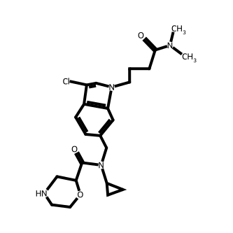 CN(C)C(=O)CCCn1cc(Cl)c2ccc(CN(C(=O)C3CNCCO3)C3CC3)cc21